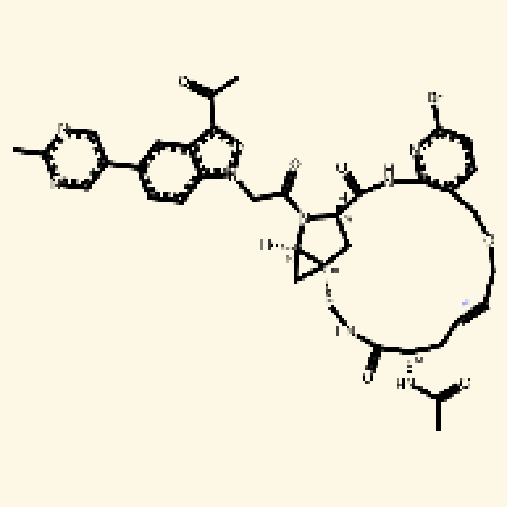 CC(=O)N[C@H]1C/C=C/COCc2ccc(Br)nc2NC(=O)[C@@H]2C[C@@]3(CNC1=O)C[C@H]3N2C(=O)Cn1nc(C(C)=O)c2cc(-c3cnc(C)nc3)ccc21